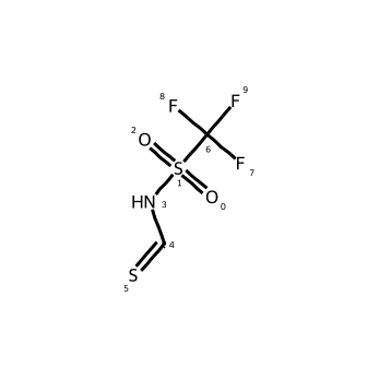 O=S(=O)(N[C]=S)C(F)(F)F